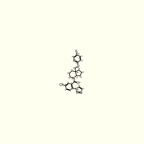 O=C(c1cc(Cl)ccc1-n1ccnn1)N1CCCC2(COc3ccc(F)cn3)CCCC12